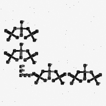 O=P([O-])([O-])OP(=O)([O-])OP(=O)([O-])[O-].O=P([O-])([O-])OP(=O)([O-])OP(=O)([O-])[O-].O=P([O-])([O-])OP(=O)([O-])OP(=O)([O-])[O-].O=P([O-])([O-])OP(=O)([O-])OP(=O)([O-])[O-].[C+4].[C+4].[C+4].[C+4].[C+4]